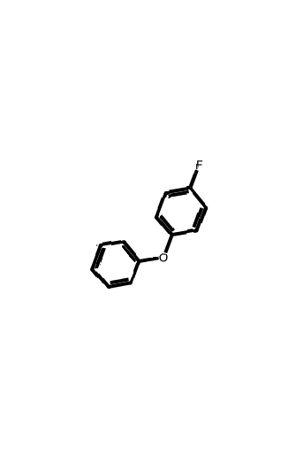 Fc1ccc(Oc2c[c]ccc2)cc1